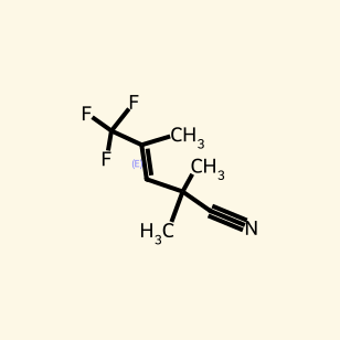 C/C(=C\C(C)(C)C#N)C(F)(F)F